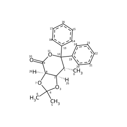 C[C@@H]1[C@H]2OC(C)(C)O[C@H]2C(=O)OC1(c1ccccc1)c1ccccc1